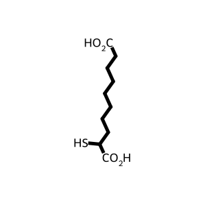 O=C(O)CCCCCCCC(S)C(=O)O